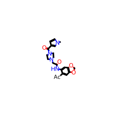 CC(=O)c1cc2c(cc1NC(=O)CN1CCN(C(=O)c3ccn(C)c3)CC1)OCO2